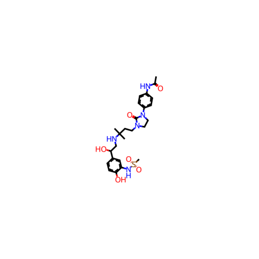 CC(=O)Nc1ccc(N2CCN(CCC(C)(C)NCC(O)c3ccc(O)c(NS(C)(=O)=O)c3)C2=O)cc1